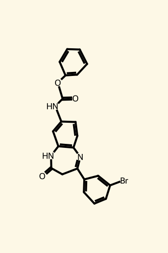 O=C1CC(c2cccc(Br)c2)=Nc2ccc(NC(=O)Oc3ccccc3)cc2N1